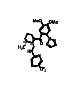 COc1cc(C(=O)N2CCC[C@@H](C)[C@H]2CNc2ccc(C(F)(F)F)cn2)c(-n2nccn2)cc1OC